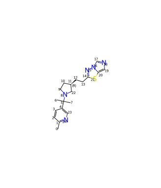 Cc1ccc(C(C)(C)N2CC[C@@H](CCc3nn4cncc4s3)C2)cn1